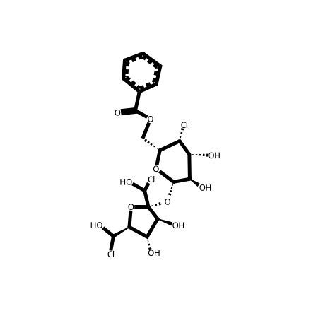 O=C(OC[C@H]1O[C@@H](O[C@@]2(C(O)Cl)O[C@H](C(O)Cl)[C@@H](O)[C@@H]2O)[C@H](O)[C@@H](O)[C@H]1Cl)c1ccccc1